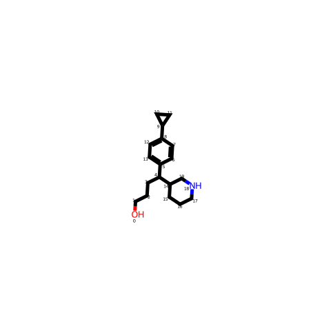 OCCCC(c1ccc(C2CC2)cc1)C1CCCNC1